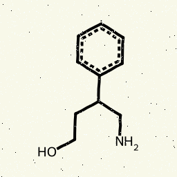 NCC(CCO)c1cc[c]cc1